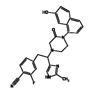 Cc1nc(C(Cc2ccc(C#N)c(F)c2)N2CCN(c3cccc4ccc(O)cc34)C(=O)C2)c[nH]1